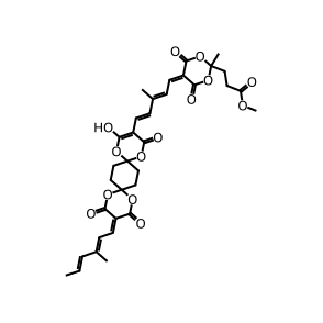 C/C=C/C(C)=C/C=C1C(=O)OC2(CCC3(CC2)OC(=O)C(/C=C/C(C)=C/C=C2C(=O)OC(C)(CCC(=O)OC)OC2=O)=C(O)O3)OC1=O